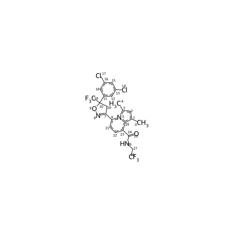 Cc1cc(C)n2c(C3=NOC(c4cc(Cl)cc(Cl)c4)(C(F)(F)F)C3)ccc(C(=O)NCC(F)(F)F)c12